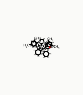 CCO[CH]=[Ru]([Cl])([Cl])(=[C]1N(c2c(C)cc(C)cc2C)CCN1c1c(C)cc(C)cc1C)[PH](C1CCCCC1)(C1CCCCC1)C1CCCCC1